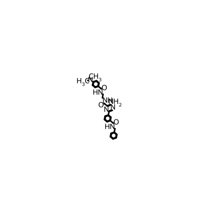 CN(C)c1ccc(C(=O)NCCNC(=O)c2nc(-c3cccc(C(=O)NCc4ccccc4)c3)cnc2N)cc1